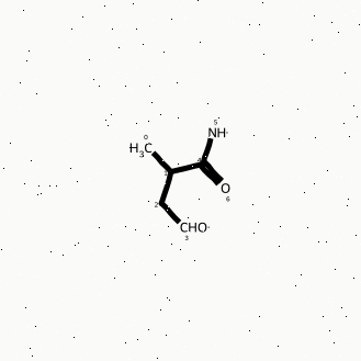 CC(C[C]=O)C([NH])=O